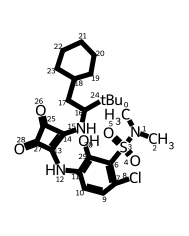 CN(C)S(=O)(=O)c1c(Cl)ccc(Nc2c(NC(CC3CCCCC3)C(C)(C)C)c(=O)c2=O)c1O